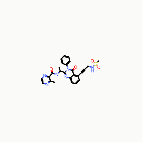 Cc1nccnc1C(=O)NC(C)c1nc2cccc(C#CCNS(C)(=O)=O)c2c(=O)n1-c1ccccc1